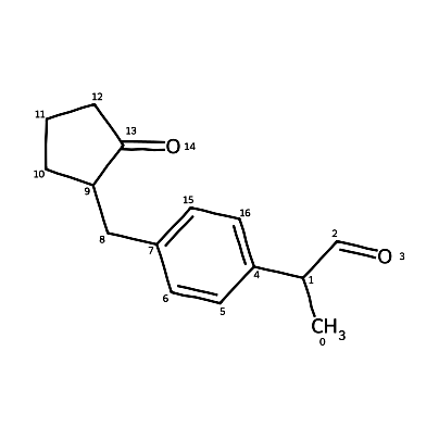 CC(C=O)c1ccc(CC2CCCC2=O)cc1